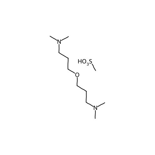 CN(C)CCCOCCCN(C)C.CS(=O)(=O)O